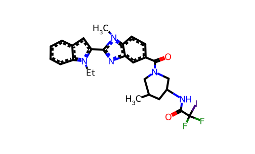 CCn1c(-c2nc3cc(C(=O)N4CC(C)CC(NC(=O)C(F)(F)I)C4)ccc3n2C)cc2ccccc21